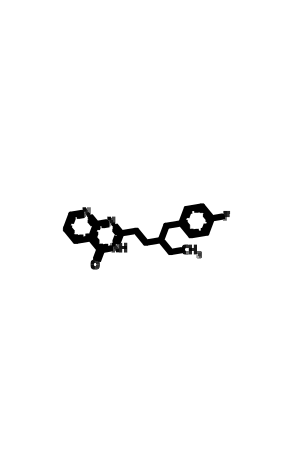 CCC(CCc1nc2ncccc2c(=O)[nH]1)Cc1ccc(F)cc1